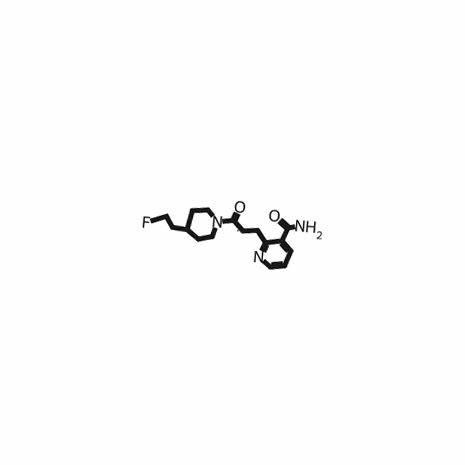 NC(=O)c1cccnc1C[CH]C(=O)N1CCC(CCF)CC1